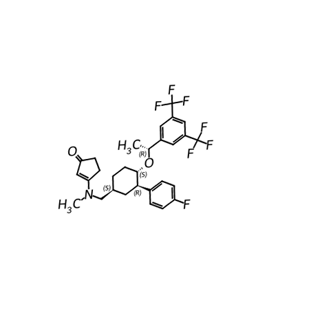 C[C@@H](O[C@H]1CC[C@H](CN(C)C2=CC(=O)CC2)C[C@@H]1c1ccc(F)cc1)c1cc(C(F)(F)F)cc(C(F)(F)F)c1